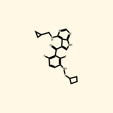 O=C(c1c(F)ccc(NSC2CCC2)c1F)c1c[nH]c2ncnc(NCC3CC3)c12